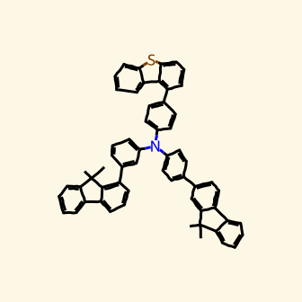 CC1(C)c2ccccc2-c2ccc(-c3ccc(N(c4ccc(-c5cccc6sc7ccccc7c56)cc4)c4cccc(-c5cccc6c5C(C)(C)c5ccccc5-6)c4)cc3)cc21